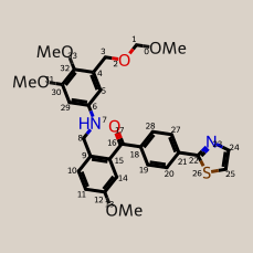 COCOCc1cc(NCc2ccc(OC)cc2C(=O)c2ccc(-c3nccs3)cc2)cc(OC)c1OC